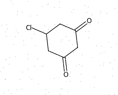 O=C1CC(=O)CC(Cl)C1